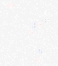 COc1ccc2c(c1OC(N)CCCCCO)CCN(C=O)C2